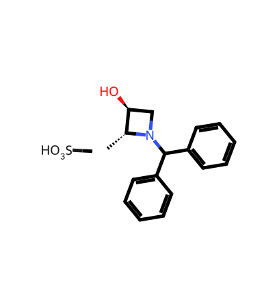 CS(=O)(=O)O.C[C@@H]1[C@@H](O)CN1C(c1ccccc1)c1ccccc1